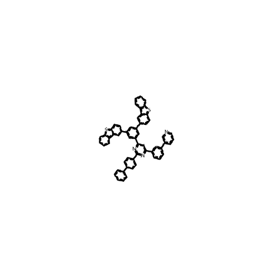 c1ccc(-c2ccc(-c3nc(-c4cccc(-c5cccnc5)c4)cc(-c4cc(-c5ccc6sc7ccccc7c6c5)cc(-c5ccc6sc7ccccc7c6c5)c4)n3)cc2)cc1